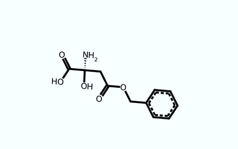 N[C@@](O)(CC(=O)OCc1ccccc1)C(=O)O